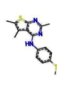 CSc1ccc(Nc2nc(C)nc3sc(C)c(C)c23)cc1